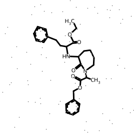 CCOC(=O)C(CCc1ccccc1)NC1CCCCN(C(C)C(=O)OCc2ccccc2)C1=O